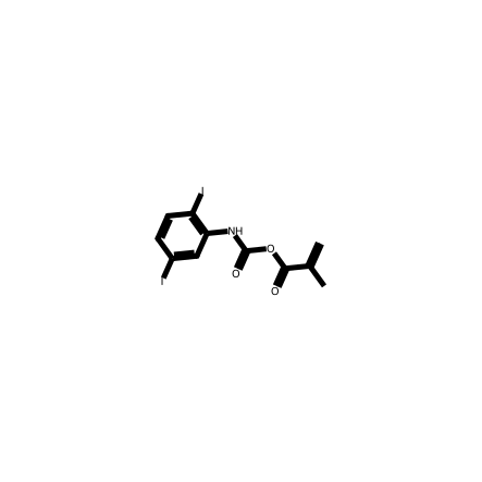 C=C(C)C(=O)OC(=O)Nc1cc(I)ccc1I